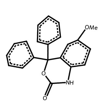 COc1ccc2c(c1)C(c1ccccc1)(c1ccccc1)OC(=O)N2